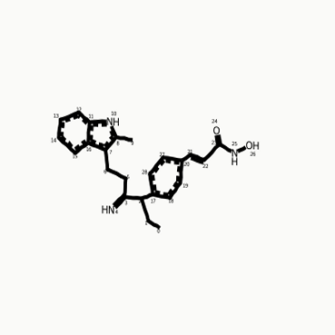 CCC(C(=N)CCc1c(C)[nH]c2ccccc12)c1ccc(/C=C/C(=O)NO)cc1